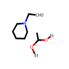 CCOC(C)OCC.O=CCN1CCCCC1